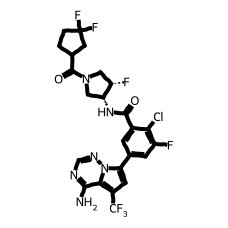 Nc1ncnn2c(-c3cc(F)c(Cl)c(C(=O)N[C@@H]4CN(C(=O)C5CCC(F)(F)C5)C[C@@H]4F)c3)cc(C(F)(F)F)c12